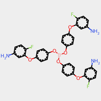 Nc1ccc(F)c(Oc2ccc(OB(Oc3ccc(Oc4cc(N)ccc4F)cc3)Oc3ccc(Oc4cc(N)ccc4F)cc3)cc2)c1